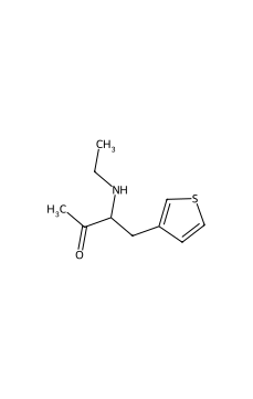 CCNC(Cc1ccsc1)C(C)=O